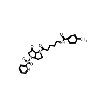 Cc1ccc(C(=O)NCCCCC(=O)N2CCC3C2C(=O)CN3S(=O)(=O)c2ccccn2)cc1